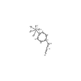 FS(F)(F)(F)(F)c1ccc(N=C=S)cc1